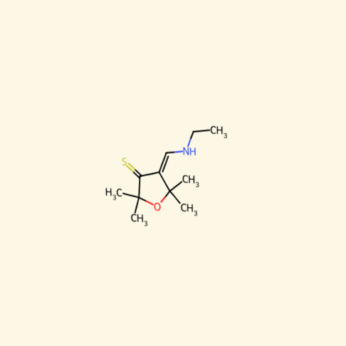 CCNC=C1C(=S)C(C)(C)OC1(C)C